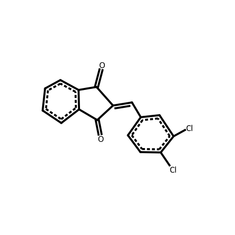 O=C1C(=Cc2ccc(Cl)c(Cl)c2)C(=O)c2ccccc21